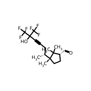 C[C@H](CC#CC(O)(C(F)(F)F)C(F)(F)F)[C@@]1(C)CC[C@@H](C=O)C1(C)C